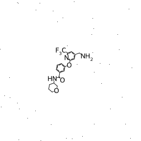 NCc1cc(Oc2cccc(C(=O)NC3CCCOC3)c2)nc(C(F)(F)F)c1